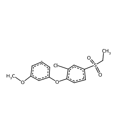 CCS(=O)(=O)c1ccc(Oc2c[c]cc(OC)c2)c(Cl)c1